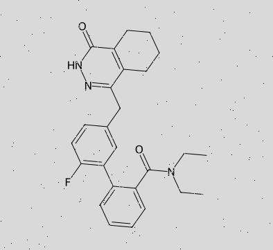 CCN(CC)C(=O)c1ccccc1-c1cc(Cc2n[nH]c(=O)c3c2CCCC3)ccc1F